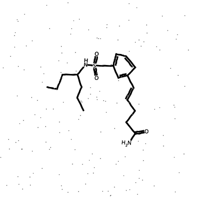 CCCC(CCC)NS(=O)(=O)c1cccc(C=CCCC(N)=O)c1